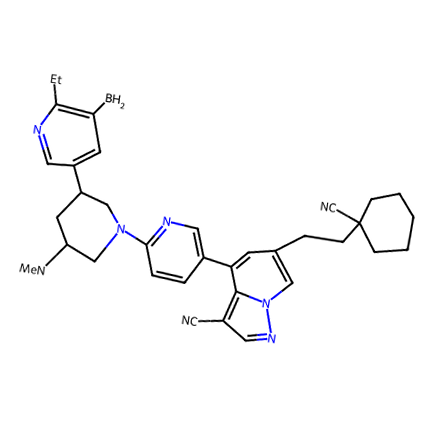 Bc1cc(C2CC(NC)CN(c3ccc(-c4cc(CCC5(C#N)CCCCC5)cn5ncc(C#N)c45)cn3)C2)cnc1CC